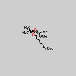 C=C(C)C(=O)OC(CCCCCCCCCCCCCCC)[Si](OC)(OC)OC